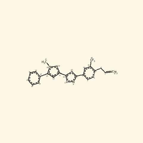 C=CCc1ccc(-c2noc(-c3cc(-c4ccccc4)n(C)n3)n2)cc1C(F)(F)F